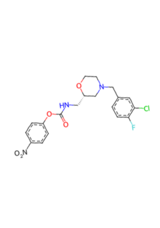 O=C(NC[C@H]1CN(Cc2ccc(F)c(Cl)c2)CCO1)Oc1ccc([N+](=O)[O-])cc1